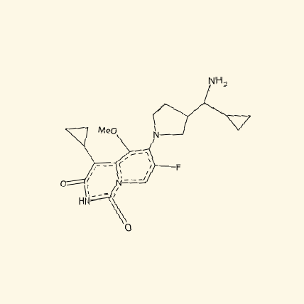 COc1c(N2CCC(C(N)C3CC3)C2)c(F)cn2c(=O)[nH]c(=O)c(C3CC3)c12